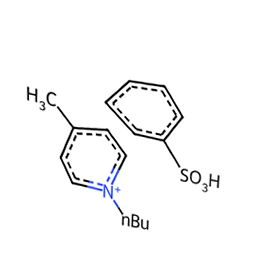 CCCC[n+]1ccc(C)cc1.O=S(=O)(O)c1ccccc1